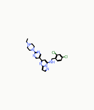 CCN1CCN(c2ncc(-c3cc(NCc4ccc(Cl)cc4Cl)n4nccc4n3)cn2)CC1